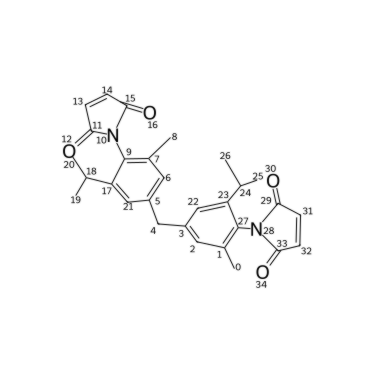 Cc1cc(Cc2cc(C)c(N3C(=O)C=CC3=O)c(C(C)C)c2)cc(C(C)C)c1N1C(=O)C=CC1=O